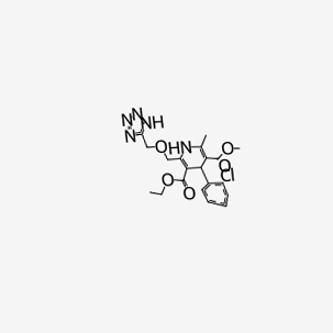 CCOC(=O)C1=C(COCc2nnn[nH]2)NC(C)=C(C(=O)OC)C1c1ccccc1Cl